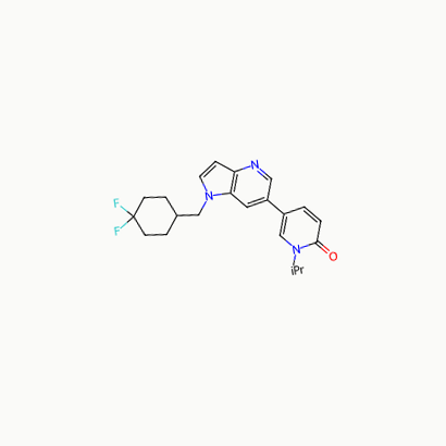 CC(C)n1cc(-c2cnc3ccn(CC4CCC(F)(F)CC4)c3c2)ccc1=O